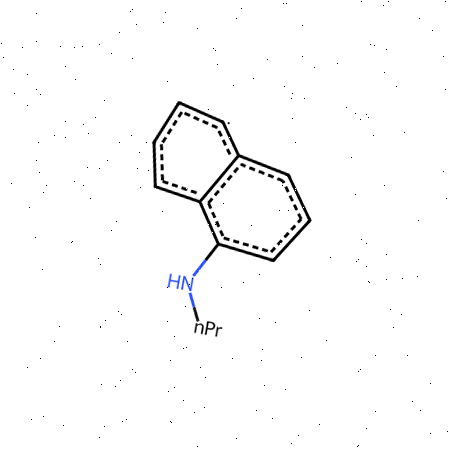 CCCNc1cccc2[c]cccc12